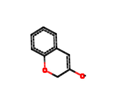 [O]C1=Cc2ccccc2OC1